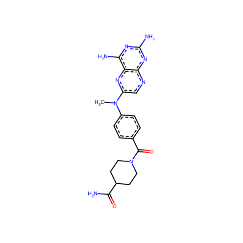 CN(c1ccc(C(=O)N2CCC(C(N)=O)CC2)cc1)c1cnc2nc(N)nc(N)c2n1